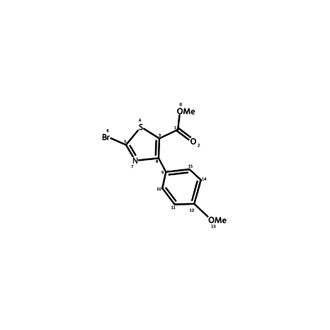 COC(=O)c1sc(Br)nc1-c1ccc(OC)cc1